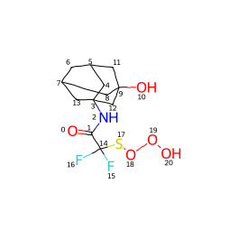 O=C(NC12CC3CC(CC(O)(C3)C1)C2)C(F)(F)SOOO